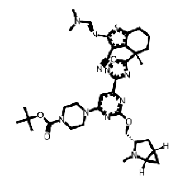 CN(C)/C=N/c1sc2c(c1C#N)[C@@](C)(c1nc(-c3cc(N4CCN(C(=O)OC(C)(C)C)CC4)nc(OC[C@@H]4C[C@@H]5C[C@@H]5N4C)n3)no1)CCC2